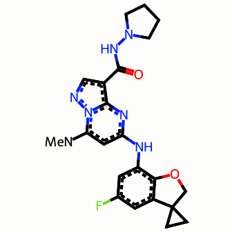 CNc1cc(Nc2cc(F)cc3c2OCC32CC2)nc2c(C(=O)NN3CCCC3)cnn12